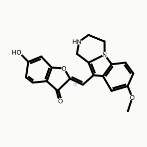 COc1ccc2c(c1)c(/C=C1\Oc3cc(O)ccc3C1=O)c1n2CCNC1